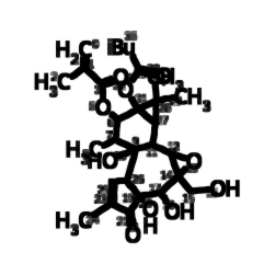 C=C(C)C(=O)OC1C(C)C2(O)C(C3OC3(CO)C(O)C3(O)C(=O)C(C)=CC32)C2C(C)(C)C12OC(=O)C(C)CC